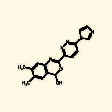 Cc1cc2c(cc1C)C(O)OC(c1ccc(-n3ccnc3)nn1)=N2